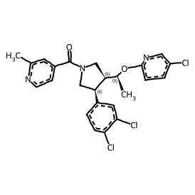 Cc1cc(C(=O)N2C[C@@H]([C@H](C)Oc3ccc(Cl)cn3)[C@@H](c3ccc(Cl)c(Cl)c3)C2)ccn1